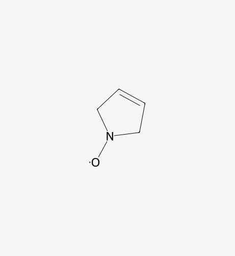 [O]N1CC=CC1